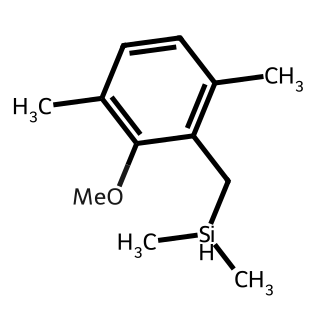 COc1c(C)ccc(C)c1C[SiH](C)C